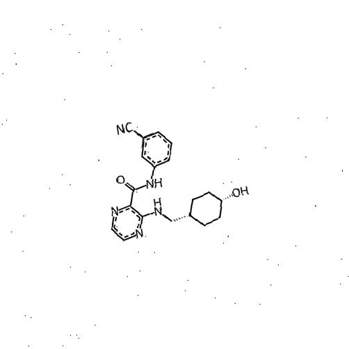 N#Cc1cccc(NC(=O)c2nccnc2NC[C@H]2CC[C@@H](O)CC2)c1